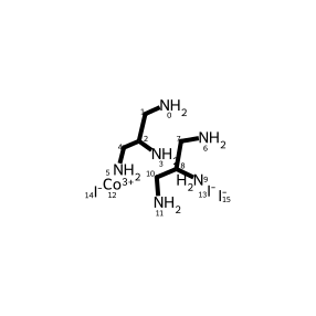 NCC(N)CN.NCC(N)CN.[Co+3].[I-].[I-].[I-]